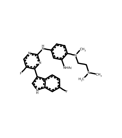 CC(=O)Nc1cc(Nc2ncc(F)c(-c3c[nH]c4cc(F)ccc34)n2)ccc1N(C)CCN(C)C